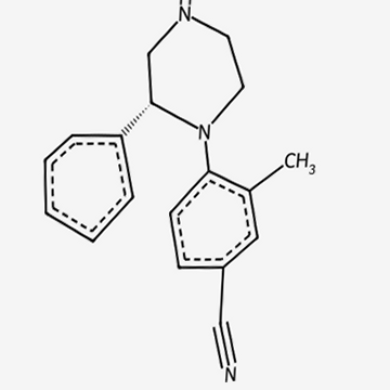 Cc1cc(C#N)ccc1N1CCNC[C@H]1c1ccccc1